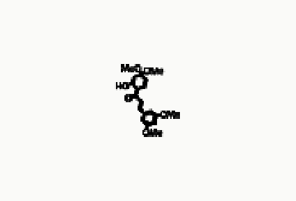 COc1cc(/C=C/C(=O)C2C=CC(OC)(OC)C=C2O)cc(OC)c1